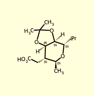 CC(C)[C@@H]1O[C@@H](C)[C@H](CC(=O)O)[C@H]2OC(C)(C)O[C@H]21